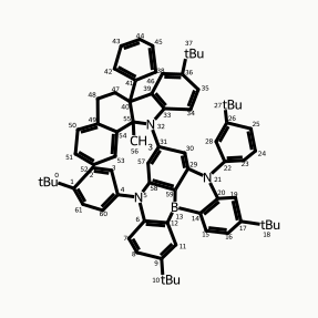 CC(C)(C)c1ccc(N2c3ccc(C(C)(C)C)cc3B3c4ccc(C(C)(C)C)cc4N(c4cccc(C(C)(C)C)c4)c4cc(N5c6ccc(C(C)(C)C)cc6C6(c7ccccc7)CCc7ccccc7C56C)cc2c43)cc1